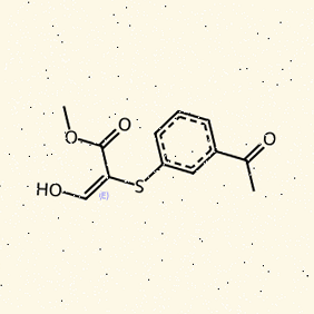 COC(=O)/C(=C\O)Sc1cccc(C(C)=O)c1